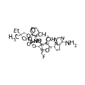 CCC(C)(C)COC(=O)[C@H](C)N[P@@](=O)(Oc1ccccc1)OC1[C@@]2(CF)O[C@@H](c3ccc4c(N)ncnn34)[C@H](O)[C@@]12O